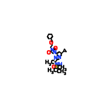 CC(N[S+]([O-])C(C)(C)C)c1cn2cc(C3CC3)cc(N3CC(=O)N(CCOCc4ccccc4)C3=O)c2n1